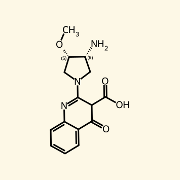 CO[C@H]1CN(C2=Nc3ccccc3C(=O)C2C(=O)O)C[C@H]1N